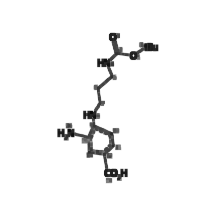 CC(C)(C)OC(=O)NCCCNc1ccc(C(=O)O)cc1N